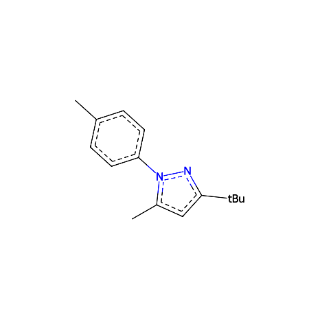 Cc1ccc(-n2nc(C(C)(C)C)cc2C)cc1